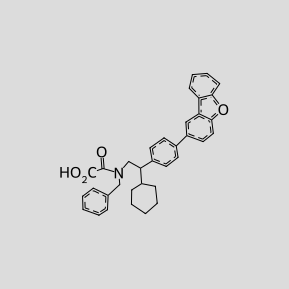 O=C(O)C(=O)N(Cc1ccccc1)CC(c1ccc(-c2ccc3oc4ccccc4c3c2)cc1)C1CCCCC1